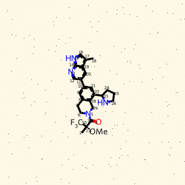 CO[C@](C)(C(=O)N1CCc2cc(-c3cnc4[nH]cc(C)c4c3)cc(C3CCCN3)c2C1)C(F)(F)F